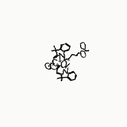 CCN1C(=Cc2c([O-])[c+](C=C3N(CCCCCOC(C)=O)c4ccccc4C3(C)C)[c+]2[O-])C(C)(C)c2ccccc21